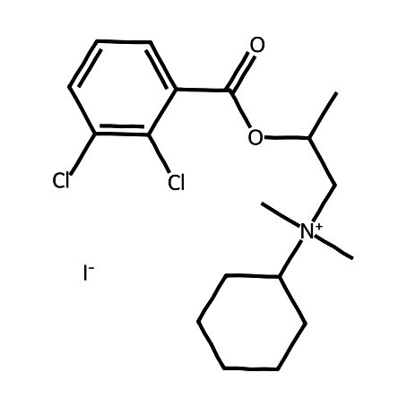 CC(C[N+](C)(C)C1CCCCC1)OC(=O)c1cccc(Cl)c1Cl.[I-]